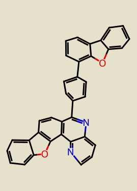 c1cnc2c(c1)nc(-c1ccc(-c3cccc4c3oc3ccccc34)cc1)c1ccc3c4ccccc4oc3c12